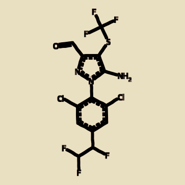 Nc1c(SC(F)(F)F)c(C=O)nn1-c1c(Cl)cc(C(F)C(F)F)cc1Cl